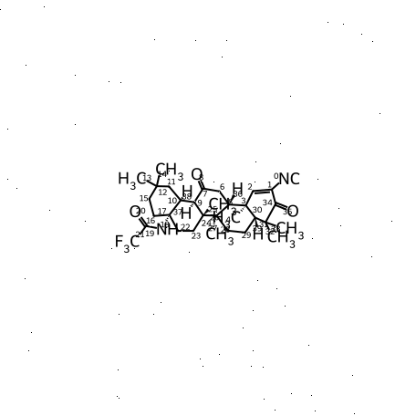 [C-]#[N+]C1=C[C@]2(C)[C@H]3CC(=O)[C@@H]4[C@@H]5CC(C)(C)CC[C@]5(NC(=O)C(F)(F)F)CC[C@@]4(C)[C@]3(C)CC[C@H]2C(C)(C)C1=O